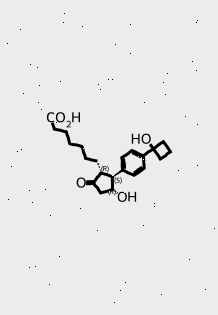 O=C(O)CCCCCC[C@H]1C(=O)C[C@@H](O)[C@@H]1c1ccc(C2(O)CCC2)cc1